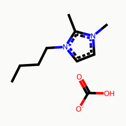 CCCC[n+]1ccn(C)c1C.O=C([O-])O